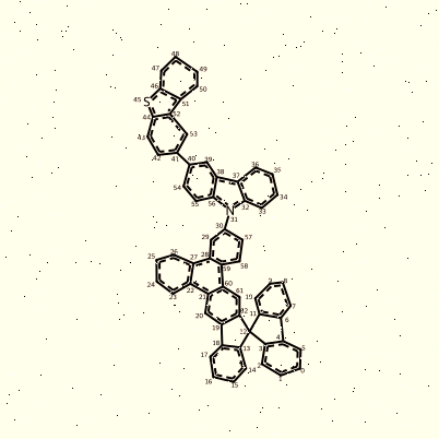 c1ccc2c(c1)-c1ccccc1C21c2ccccc2-c2cc3c4ccccc4c4cc(-n5c6ccccc6c6cc(-c7ccc8sc9ccccc9c8c7)ccc65)ccc4c3cc21